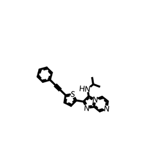 CC(C)Nc1c(-c2ccc(C#Cc3ccccc3)s2)nc2cnccn12